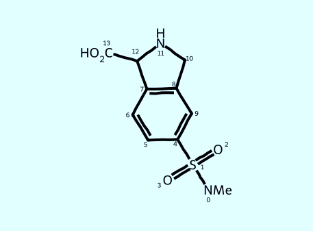 CNS(=O)(=O)c1ccc2c(c1)CNC2C(=O)O